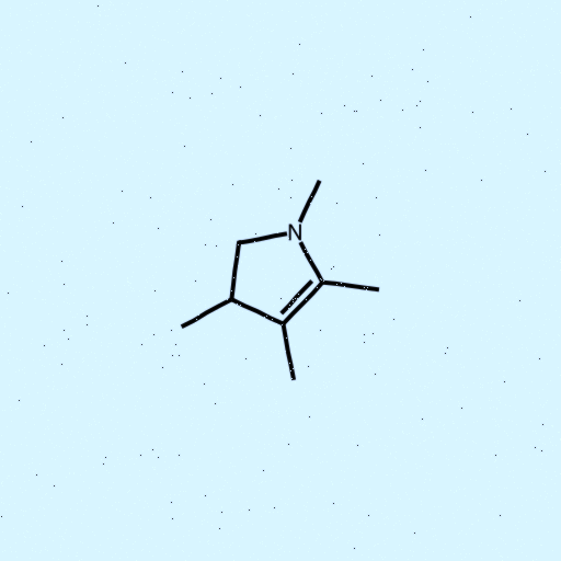 CC1=C(C)N(C)CC1C